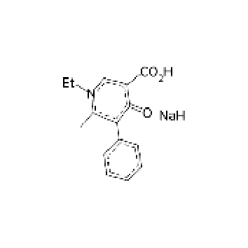 CCn1cc(C(=O)O)c(=O)c(-c2ccccc2)c1C.[NaH]